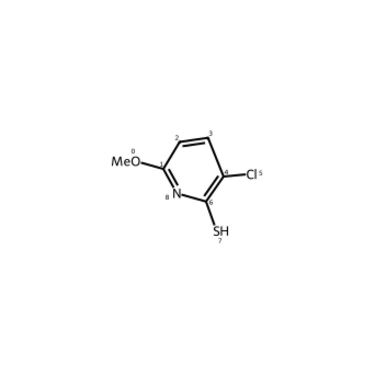 COc1ccc(Cl)c(S)n1